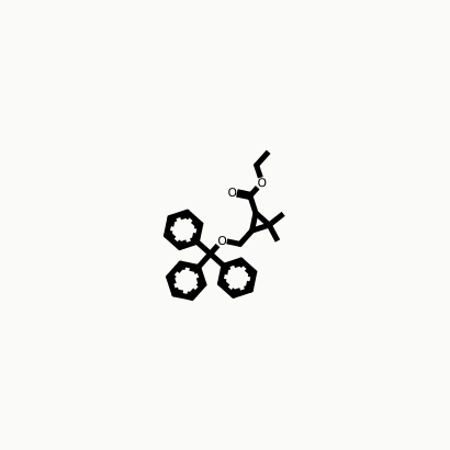 CCOC(=O)C1C(COC(c2ccccc2)(c2ccccc2)c2ccccc2)C1(C)C